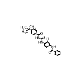 CC(C)(C)c1ccc(C(=O)NC(=S)Nc2ccc(NC(=O)c3ccccc3)cc2Cl)cc1